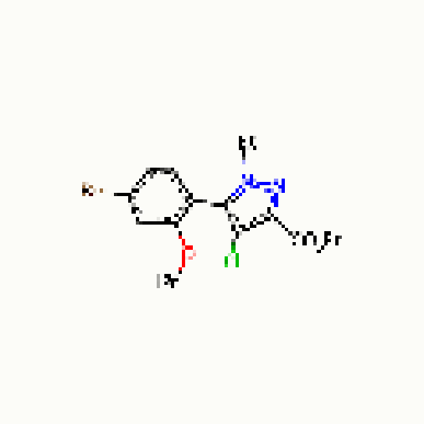 CCOC(=O)c1nn(CC)c(-c2ccc(Br)cc2OC(C)C)c1Cl